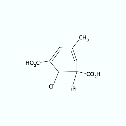 CC1=CC(C(=O)O)(C(C)C)C(Cl)C(C(=O)O)=C1